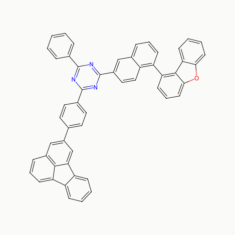 c1ccc(-c2nc(-c3ccc(-c4cc5c6c(cccc6c4)-c4ccccc4-5)cc3)nc(-c3ccc4c(-c5cccc6oc7ccccc7c56)cccc4c3)n2)cc1